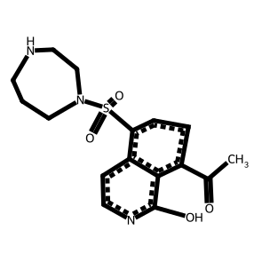 CC(=O)c1ccc(S(=O)(=O)N2CCCNCC2)c2ccnc(O)c12